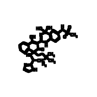 CC(NC1(CCC(C)(C)C)C(=O)C(C2=NS(O)(O)c3cc(NS(C)(=O)=O)ccc3N2)=C(O)c2ccccc21)c1ncc[nH]1